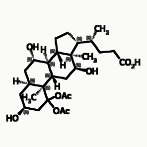 CC(=O)OC1(OC(C)=O)C[C@@H](O)C[C@H]2C[C@H](O)[C@H]3[C@@H]4CC[C@H]([C@H](C)CCC(=O)O)[C@@]4(C)[C@@H](O)C[C@@H]3[C@]21C